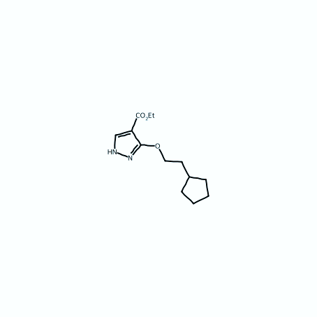 CCOC(=O)c1c[nH]nc1OCCC1CCCC1